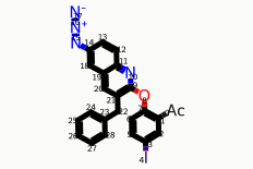 CC(=O)c1cc(I)ccc1Oc1nc2ccc(N=[N+]=[N-])cc2cc1Cc1ccccc1